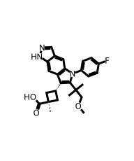 COCC(C)(C)c1c([C@H]2C[C@](C)(C(=O)O)C2)c2cc3[nH]ncc3cc2n1-c1ccc(F)cc1